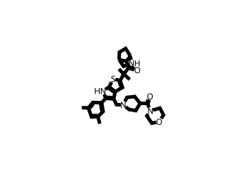 Cc1cc(C)cc(-c2[nH]c3sc(C(C)(C)C(=O)C4C5CCC4NC5)cc3c2CN2CCC(C(=O)N3CCOCC3)CC2)c1